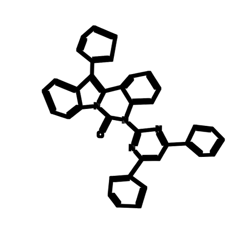 O=c1n(-c2nc(-c3ccccc3)cc(-c3ccccc3)n2)c2ccccc2c2c(-c3ccccc3)c3ccccc3n12